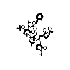 CC(=O)N1CC/C(=C\[C@H](C[C@@H]2CCNC2=O)NC(=O)[C@H](CC(C)C)NC(=O)[C@@H](NC(=O)OCc2ccccc2)C(C)OC(C)(C)C)C1=O